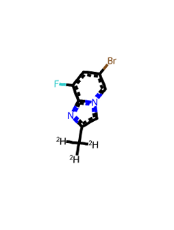 [2H]C([2H])([2H])c1cn2cc(Br)cc(F)c2n1